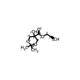 C#CCOC(=O)C1(C)COC(C)(C)OC1